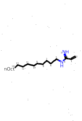 C=CC(=N)NCCCCCCCCCCCCCCCCC